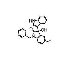 O=C1N(Cc2ccccc2)c2ccc(F)cc2C1(O)c1c[nH]c2ccccc12